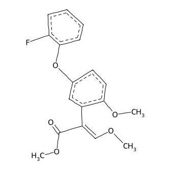 CO/C=C(/C(=O)OC)c1cc(Oc2ccccc2F)ccc1OC